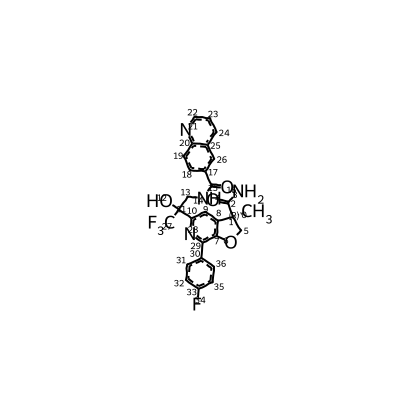 C[C@]1(C(N)=O)COc2c1cc(C(O)(CNC(=O)c1ccc3ncccc3c1)C(F)(F)F)nc2-c1ccc(F)cc1